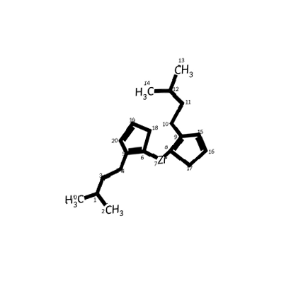 CC(C)CCC1=[C]([Zr][C]2=C(CCC(C)C)C=CC2)CC=C1